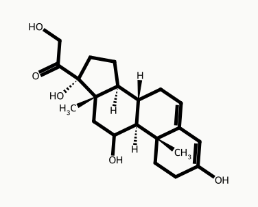 C[C@]12CCC(O)=CC1=CC[C@@H]1[C@@H]2C(O)C[C@@]2(C)[C@H]1CC[C@]2(O)C(=O)CO